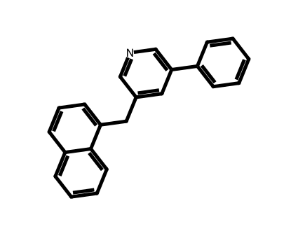 c1ccc(-c2cncc(Cc3cccc4ccccc34)c2)cc1